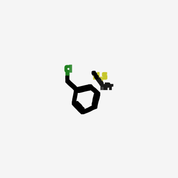 CCCC.ClCc1ccccc1.S